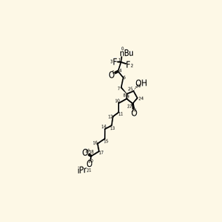 CCCCC(F)(F)C(=O)CC[C@@H]1C(CCCCCCCCC(=O)OC(C)C)C(=O)C[C@H]1O